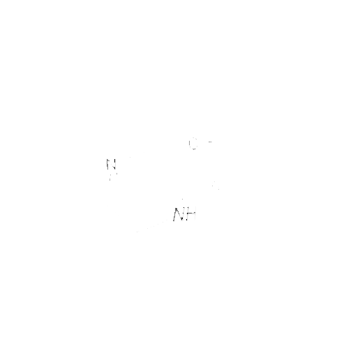 COC1(OC)NCC=NC1C